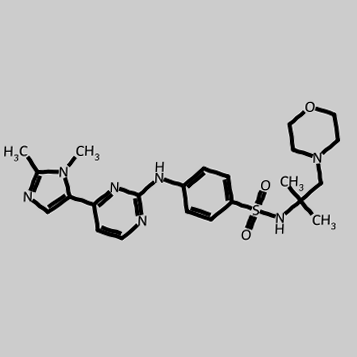 Cc1ncc(-c2ccnc(Nc3ccc(S(=O)(=O)NC(C)(C)CN4CCOCC4)cc3)n2)n1C